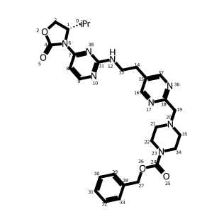 CC(C)[C@H]1COC(=O)N1c1ccnc(NCCc2cnc(CN3CCN(C(=O)OCc4ccccc4)CC3)nc2)n1